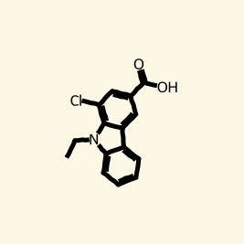 CCn1c2ccccc2c2cc(C(=O)O)cc(Cl)c21